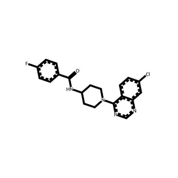 O=C(NC1CCN(c2ncnc3cc(Cl)ccc23)CC1)c1ccc(F)cc1